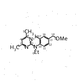 CCN(c1nc(C)cc(C)n1)c1ccc(COC)cc1I